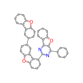 c1ccc(-c2nc(-c3cccc4oc5ccc(-c6ccc7oc8ccccc8c7c6)cc5c34)nc3c2oc2ccccc23)cc1